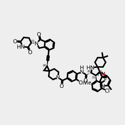 COc1cc(C(=O)N2CCC3(CC2)C[C@H]3C#Cc2cccc3c2CN([C@H]2CCC(=O)NC2=O)C3=O)ccc1NC(=O)[C@@H]1NC2(CCC(C)(C)CC2)[C@@]2(CNc3cc(C)ncc32)[C@H]1c1cccc(Cl)c1F